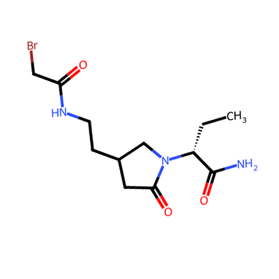 CC[C@H](C(N)=O)N1CC(CCNC(=O)CBr)CC1=O